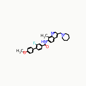 COc1ccc(-c2ccc(C(=O)Nc3ccc4cc(CN5CCCCCC5)cnc4c3C)cc2F)cc1